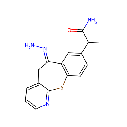 CC(C(N)=O)c1ccc2c(c1)C(=NN)Cc1cccnc1S2